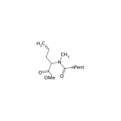 C=CCC(C(=O)OC)N(C)C(=O)CCCCC